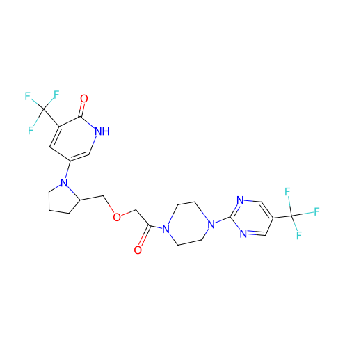 O=C(COCC1CCCN1c1c[nH]c(=O)c(C(F)(F)F)c1)N1CCN(c2ncc(C(F)(F)F)cn2)CC1